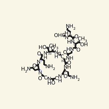 C[C@@H](O)[C@@H]1NC(=O)/C(CCN)=N/C(=O)/C(CCN)=N\C(=O)CNC(=O)CNC(=O)[C@H](CCN)NC(=O)[C@@H](NC(=O)CNC(=O)[C@@H](NC(=O)[C@H](CCN)NC=O)[C@@H](C)O)CCNC1=O